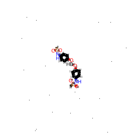 CS(=O)(=O)Nc1ccc(OBOc2ccc(NS(C)(=O)=O)cc2)cc1